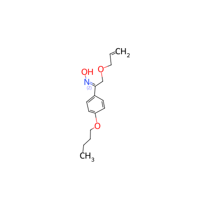 C=CCOC/C(=N\O)c1ccc(OCCCC)cc1